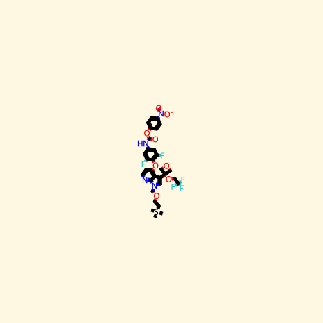 C[Si](C)(C)CCOCn1cc(C2(OCC(F)(F)F)COC2)c2c(Oc3c(F)cc(NC(=O)Oc4ccc([N+](=O)[O-])cc4)cc3F)ccnc21